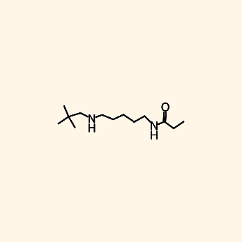 CCC(=O)NCCCCCNCC(C)(C)C